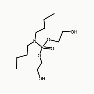 CCCCN(CCCC)P(=O)(OCCO)OCCO